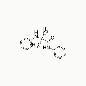 CC(C)(Nc1ccccc1)C(=O)Nc1ccccc1